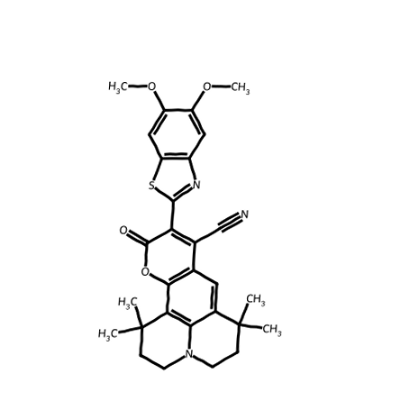 COc1cc2nc(-c3c(C#N)c4cc5c6c(c4oc3=O)C(C)(C)CCN6CCC5(C)C)sc2cc1OC